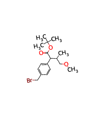 COCC(C)C(C(=O)OC(C)(C)C)c1ccc(CBr)cc1